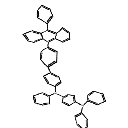 c1ccc(-c2c3ccccc3c(-c3ccc(-c4ccc(N(c5ccccc5)c5ccc(N(c6ccccc6)c6ccccc6)cc5)cc4)cc3)c3ccccc23)cc1